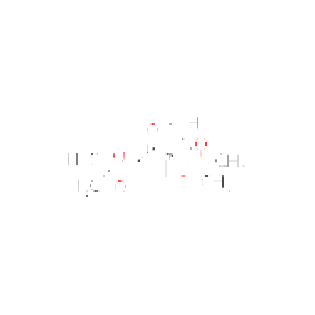 CC1(C)OCC([C@H]2OC[C@H]3OC(C)(C)O[C@@H]23)O1